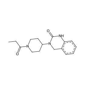 CCC(=O)N1CCC(N2Cc3ccccc3NC2=O)CC1